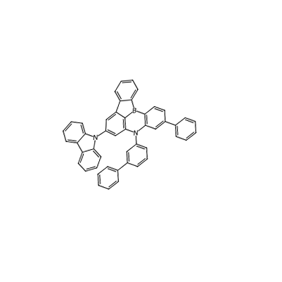 c1ccc(-c2cccc(N3c4cc(-c5ccccc5)ccc4B4c5ccccc5-c5cc(-n6c7ccccc7c7ccccc76)cc3c54)c2)cc1